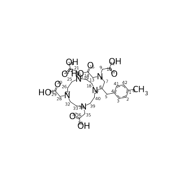 Cc1ccc(CC(CN(CC(=O)O)CC(=O)O)N2CCN(CC(=O)O)CCN(CC(=O)O)CCN(CC(=O)O)CC2)cc1